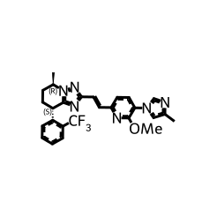 COc1nc(C=Cc2nc3n(n2)[C@H](C)CC[C@H]3c2ccccc2C(F)(F)F)ccc1-n1cnc(C)c1